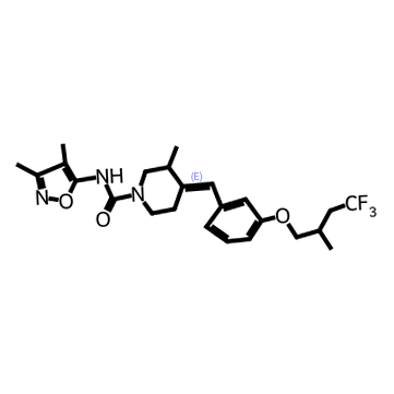 Cc1noc(NC(=O)N2CC/C(=C\c3cccc(OCC(C)CC(F)(F)F)c3)C(C)C2)c1C